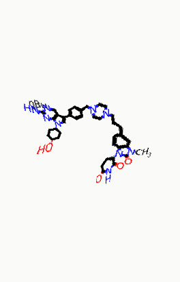 CCCCNc1ncc2c(-c3ccc(CN4CCN(CCCc5ccc6c(c5)n(C)c(=O)n6[C@H]5CCC(=O)NC5=O)CC4)cc3)cn([C@H]3CC[C@H](O)CC3)c2n1